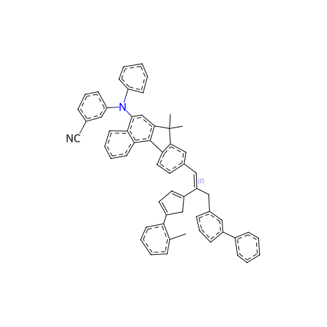 Cc1ccccc1C1=CC=C(/C(=C\c2ccc3c(c2)C(C)(C)c2cc(N(c4ccccc4)c4cccc(C#N)c4)c4ccccc4c2-3)Cc2cccc(-c3ccccc3)c2)C1